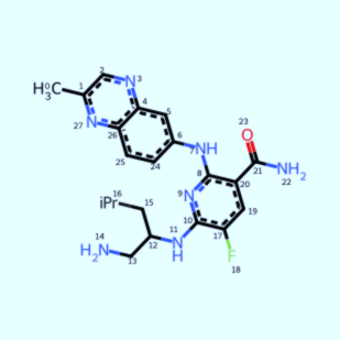 Cc1cnc2cc(Nc3nc(NC(CN)CC(C)C)c(F)cc3C(N)=O)ccc2n1